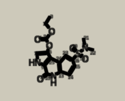 CCOC(=O)Oc1c[nH]c2c(=O)[nH]c3ccc(S(=O)(=O)N(C)C)cc3c12